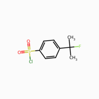 CC(C)(F)c1ccc(S(=O)(=O)Cl)cc1